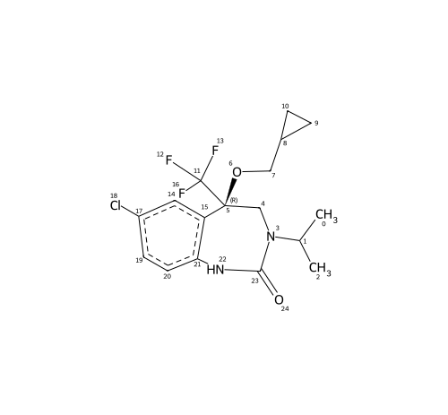 CC(C)N1C[C@@](OCC2CC2)(C(F)(F)F)c2cc(Cl)ccc2NC1=O